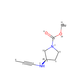 CC#CN[C@@H]1CCN(C(=O)OC(C)(C)C)C1